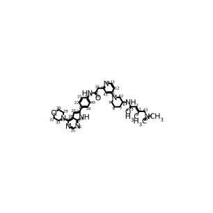 C/C(=C\C(=O)NC1CCCN(c2ccnc(CC(=O)Nc3ccc(-c4cc5c(N6CCOCC6)ncnc5[nH]4)cc3)c2)C1)CN(C)C